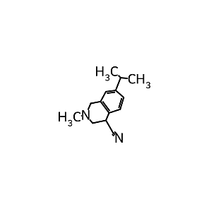 CC(C)c1ccc2c(c1)CN(C)CC2C#N